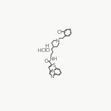 Cl.Cl.O=C(NCCCC1CCN(CCc2ccccc2Cl)CC1)C1=Cc2cnc3cccc(n23)S1